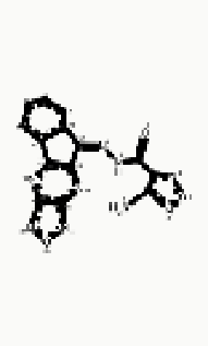 Nc1nonc1C(=O)NN=C1c2ccccc2-c2nc3nonc3nc21